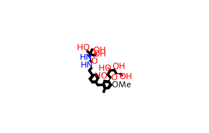 COc1cc(C)c(Cc2ccc(CCNC(=O)NC(CO)(CO)CO)cc2)cc1[C@@H]1O[C@H](CO)[C@@H](O)[C@H](O)[C@H]1O